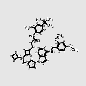 COc1ccc(CNc2ncnc3c2ccn3[C@H]2CC[C@@H](CN(C3CCC3)C3CC(CCC(=O)Nc4ccc(C(C)(C)C)cc4N)C3)C2)c(OC)c1